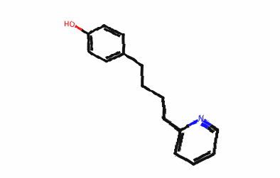 Oc1ccc(CCCCc2ccccn2)cc1